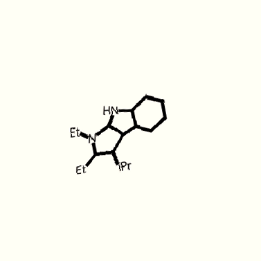 CCC1C(C(C)C)C2C3CCCCC3NC2N1CC